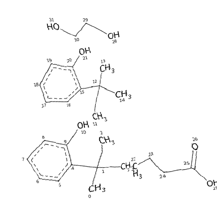 CC(C)(C)c1ccccc1O.CC(C)(C)c1ccccc1O.CCCC(=O)O.OCCO